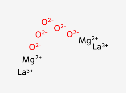 [La+3].[La+3].[Mg+2].[Mg+2].[O-2].[O-2].[O-2].[O-2].[O-2]